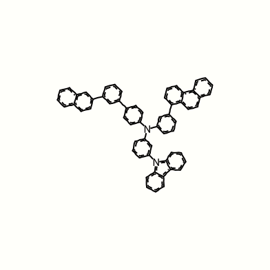 c1cc(-c2ccc(N(c3cccc(-c4cccc5c4ccc4ccccc45)c3)c3cccc(-n4c5ccccc5c5ccccc54)c3)cc2)cc(-c2ccc3ccccc3c2)c1